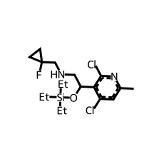 CC[Si](CC)(CC)OC(CNCC1(F)CC1)c1c(Cl)cc(C)nc1Cl